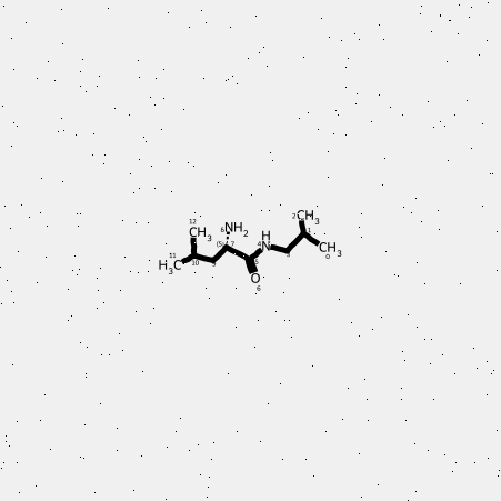 CC(C)CNC(=O)[C@@H](N)CC(C)C